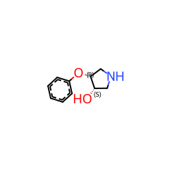 O[C@H]1CNC[C@H]1Oc1ccccc1